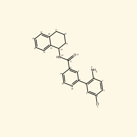 Nc1ccc(Cl)cc1-c1cc(C(=O)NC2CCCc3ccccc32)ccn1